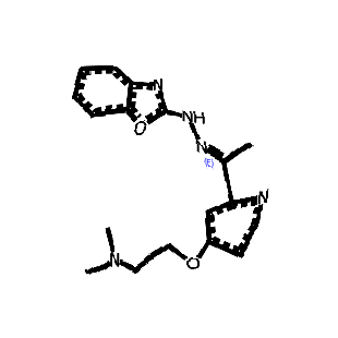 C/C(=N\Nc1nc2ccccc2o1)c1cc(OCCN(C)C)ccn1